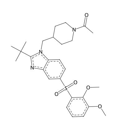 COc1cccc(S(=O)(=O)c2ccc3c(c2)nc(C(C)(C)C)n3CC2CCN(C(C)=O)CC2)c1OC